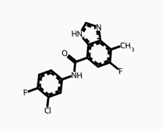 Cc1c(F)cc(C(=O)Nc2ccc(F)c(Cl)c2)c2[nH]cnc12